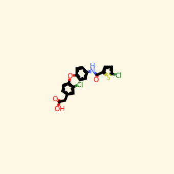 O=C(O)Cc1ccc(Oc2ccc(NC(=O)c3ccc(Cl)s3)cc2)c(Cl)c1